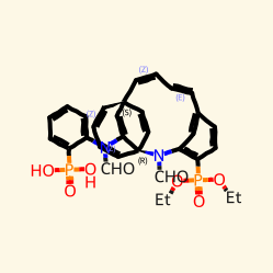 CCOP(=O)(OCC)c1ccc2cc1N(C=O)[C@]13C=C[C@@](C=C1N(C=O)c1ccccc1P(=O)(O)O)(/C=C\C=C/3)/C=C\C=C\2